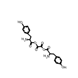 NC(Cc1ccc(O)cc1)C(=O)OC(=O)C(=O)OC(=O)C(N)Cc1ccc(O)cc1